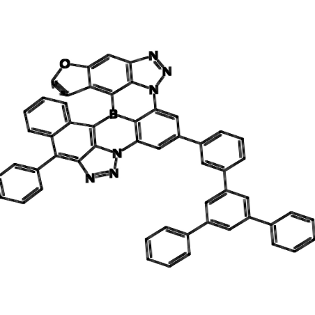 c1ccc(-c2cc(-c3ccccc3)cc(-c3cccc(-c4cc5c6c(c4)-n4nnc7c(-c8ccccc8)c8ccccc8c(c74)B6c4c6c(cc7nnn-5c47)oc4ccccc46)c3)c2)cc1